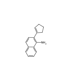 Nc1c(C2=CCCC2)ccc2ccccc12